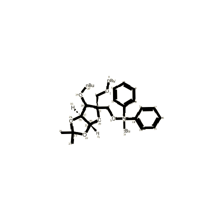 CCCCOC[C@@]1(CO[Si](c2ccccc2)(c2ccccc2)C(C)(C)C)O[C@@H]2OC(C)(C)O[C@H]2C1OCCCC